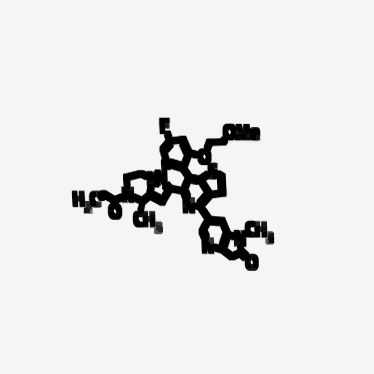 C=CC(=O)N1CCn2nc(-c3nc(-c4cnc5c(c4)N(C)C(=O)C5)c4ccsc4c3-c3c(F)cc(F)cc3OCCOC)cc2[C@H]1C